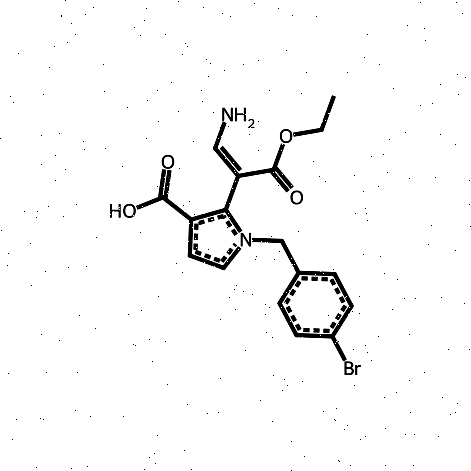 CCOC(=O)/C(=C\N)c1c(C(=O)O)ccn1Cc1ccc(Br)cc1